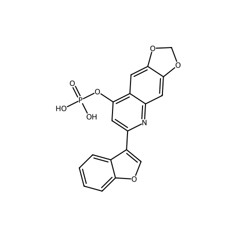 O=P(O)(O)Oc1cc(-c2coc3ccccc23)nc2cc3c(cc12)OCO3